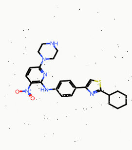 O=[N+]([O-])c1ccc(N2CCNCC2)nc1Nc1ccc(-c2csc(C3CCCCC3)n2)cc1